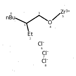 CCCCC(CC)C[O][Zr+3].[Cl-].[Cl-].[Cl-]